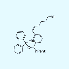 CCCCCC(O[Si](c1ccccc1)(c1ccccc1)C(C)(C)C)c1cccc(/C=C\CCCCBr)c1